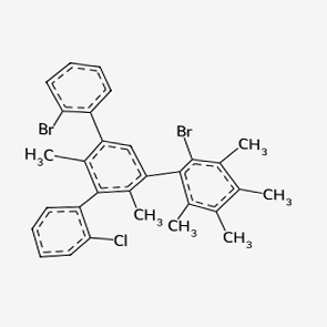 Cc1c(C)c(C)c(-c2cc(-c3ccccc3Br)c(C)c(-c3ccccc3Cl)c2C)c(Br)c1C